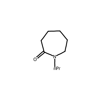 CCCN1CCCCCC1=O